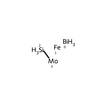 [BiH3].[Fe].[SiH3][Mo]